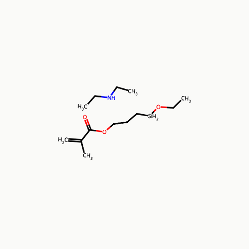 C=C(C)C(=O)OCCC[SiH2]OCC.CCNCC